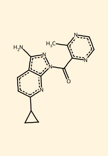 Cc1nccnc1C(=O)n1nc(N)c2ccc(C3CC3)nc21